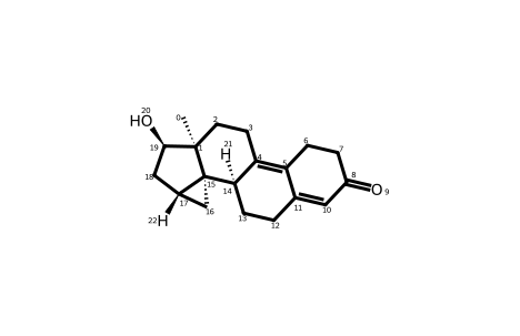 C[C@]12CCC3=C4CCC(=O)C=C4CC[C@H]3[C@]13C[C@@H]3C[C@H]2O